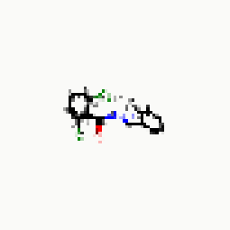 O=C(NCc1ccccc1C(F)(F)F)c1c(Cl)cccc1Cl